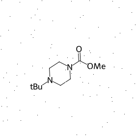 COC(=O)N1CCN(C(C)(C)C)CC1